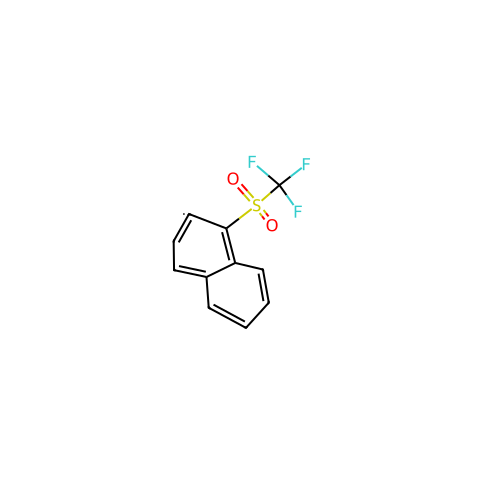 O=S(=O)(c1[c]ccc2ccccc12)C(F)(F)F